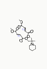 COC(=O)/C=C/C(=O)OCC(C)(COC(=O)/C=C/C(=O)OC)N1CCCCC1